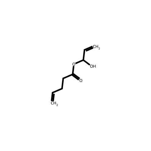 C=CCCC(=O)OC(O)C=C